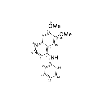 COc1cc2nncc(Nc3ccccc3)c2cc1OC